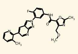 COCc1nc(C)oc1C(=O)Nc1ccc(F)c(-n2cc3cc(-c4ncccc4C)cnc3n2)c1